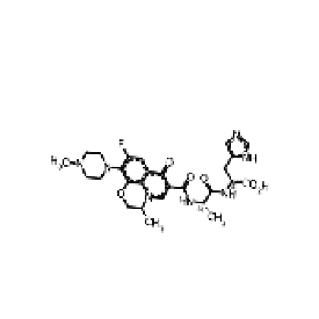 CC1COc2c(N3CCN(C)CC3)c(F)cc3c(=O)c(C(=O)N[C@@H](C)C(=O)N[C@@H](Cc4cnc[nH]4)C(=O)O)cn1c23